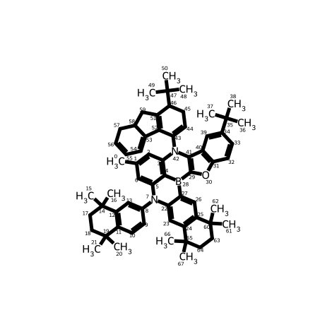 Cc1cc2c3c(c1)N(c1ccc4c(c1)C(C)(C)CCC4(C)C)c1cc4c(cc1B3c1oc3ccc(C(C)(C)C)cc3c1N2C1=CCC(C(C)(C)C)C2=C1C1=CC=CCC1C2)C(C)(C)CCC4(C)C